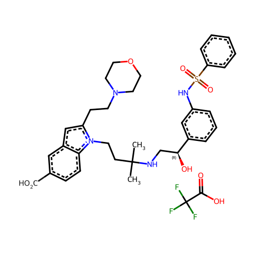 CC(C)(CCn1c(CCN2CCOCC2)cc2cc(C(=O)O)ccc21)NC[C@H](O)c1cccc(NS(=O)(=O)c2ccccc2)c1.O=C(O)C(F)(F)F